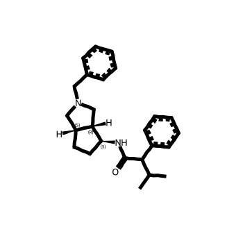 CC(C)C(C(=O)N[C@H]1CC[C@@H]2CN(Cc3ccccc3)C[C@@H]21)c1ccccc1